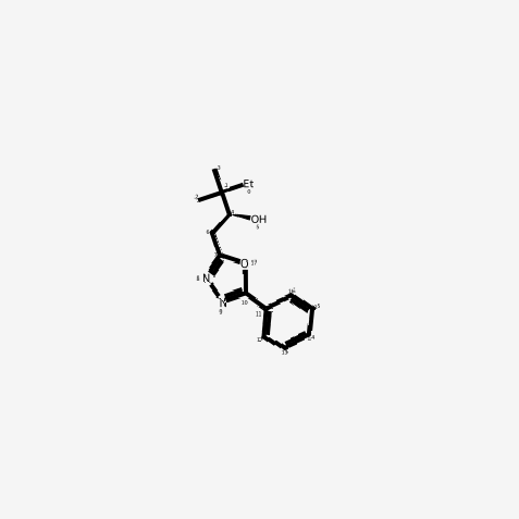 CCC(C)(C)[C@@H](O)Cc1nnc(-c2ccccc2)o1